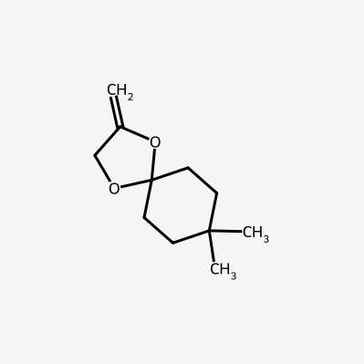 C=C1COC2(CCC(C)(C)CC2)O1